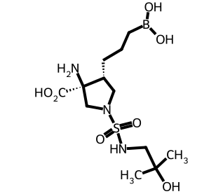 CC(C)(O)CNS(=O)(=O)N1C[C@@H](CCCB(O)O)[C@@](N)(C(=O)O)C1